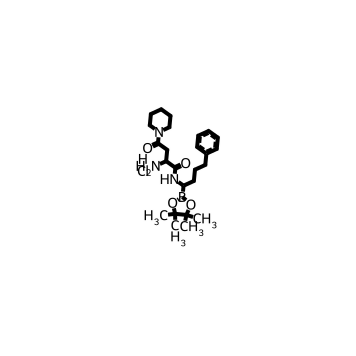 CC1(C)OB(C(CCCc2ccccc2)NC(=O)C(N)CC(=O)N2CCCCC2)OC1(C)C.Cl